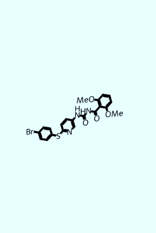 COc1cccc(OC)c1C(=O)NC(=O)Nc1ccc(Sc2ccc(Br)cc2)nc1